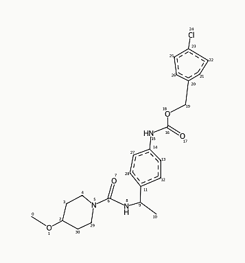 COC1CCN(C(=O)NC(C)c2ccc(NC(=O)OCc3ccc(Cl)cc3)cc2)CC1